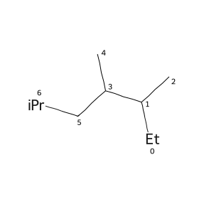 [CH2]CC(C)C(C)CC([CH2])C